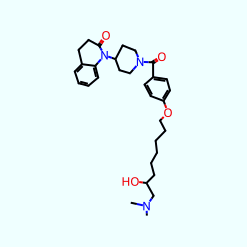 CN(C)CC(O)CCCCCCOc1ccc(C(=O)N2CCC(N3C(=O)CCc4ccccc43)CC2)cc1